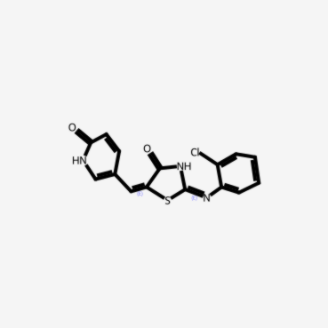 O=C1N/C(=N\c2ccccc2Cl)S/C1=C/c1ccc(=O)[nH]c1